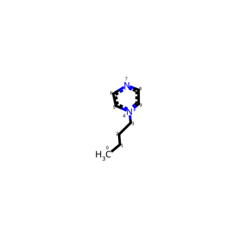 CCCC[n+]1ccncc1